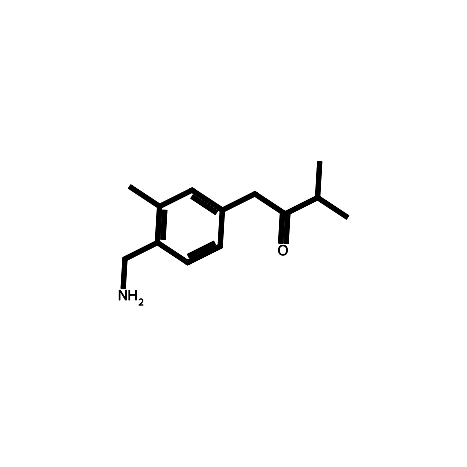 Cc1cc(CC(=O)C(C)C)ccc1CN